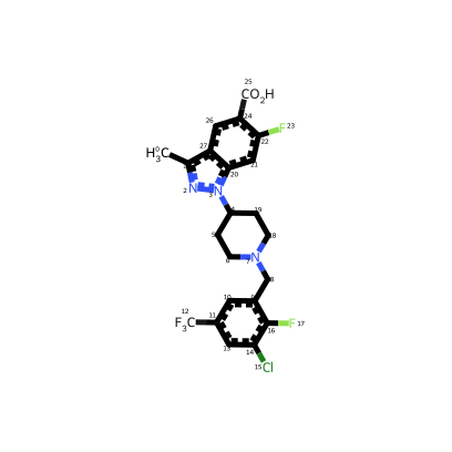 Cc1nn(C2CCN(Cc3cc(C(F)(F)F)cc(Cl)c3F)CC2)c2cc(F)c(C(=O)O)cc12